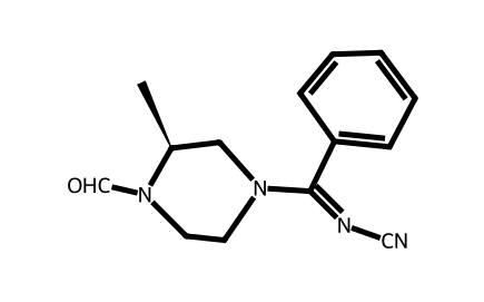 C[C@H]1CN(/C(=N/C#N)c2ccccc2)CCN1C=O